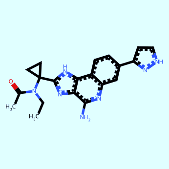 CCN(C(C)=O)C1(c2nc3c(N)nc4cc(-c5cc[nH]n5)ccc4c3[nH]2)CC1